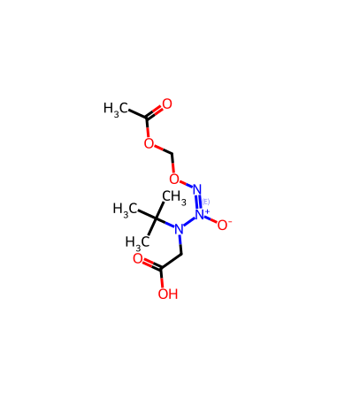 CC(=O)OCO/N=[N+](/[O-])N(CC(=O)O)C(C)(C)C